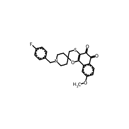 COc1ccc2c(c1)C1=C(SCC3(CCN(Cc4ccc(F)cc4)CC3)O1)C(=O)C2=O